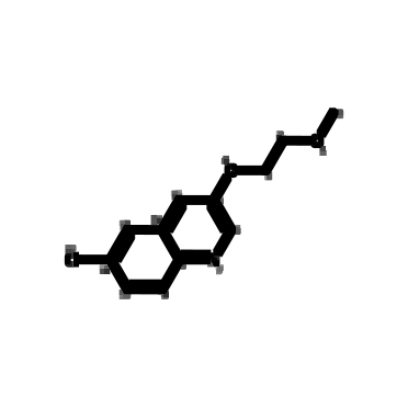 COCCOc1cnc2ccc(Cl)cc2c1